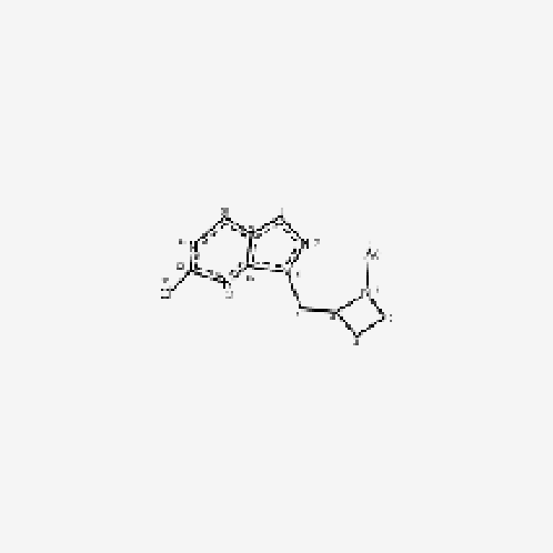 CC(=O)N1CCC1Cn1ncc2cnc(Cl)nc21